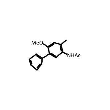 COc1cc(C)c(NC(C)=O)cc1-c1ccccc1